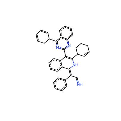 N=C/C(=C1\NC(C2C=CCCC2)=C(c2nc(C3C=CC=CC3)c3ccccc3n2)c2ccccc21)c1ccccc1